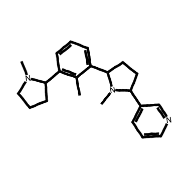 Cc1c(C2CCCN2C)cccc1C1CCC(c2cccnc2)N1C